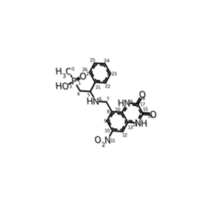 CP(=O)(O)CC(NCc1cc([N+](=O)[O-])cc2[nH]c(=O)c(=O)[nH]c12)c1ccccc1